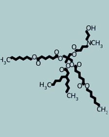 CCCCCCCOC(=O)CCCCC(=O)OCC(COC(=O)CCCCC(=O)OCCCCCCC)(COC(=O)CCCN(C)CCCO)COC(=O)CC(CCCCC)CCCCC